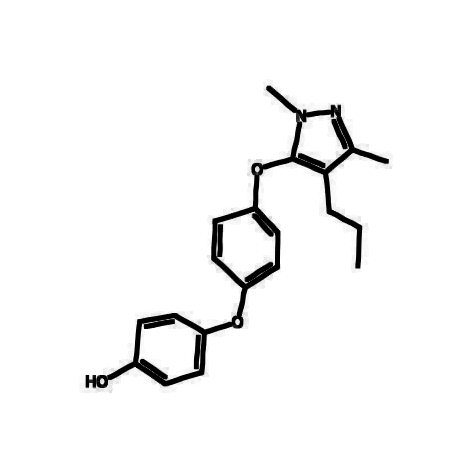 CCCc1c(C)nn(C)c1Oc1ccc(Oc2ccc(O)cc2)cc1